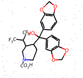 O=C(O)N1CCC(C(O)(c2ccc3c(c2)OCO3)c2ccc3c(c2)OCO3)C(C(C(F)(F)F)C(F)(F)F)C1